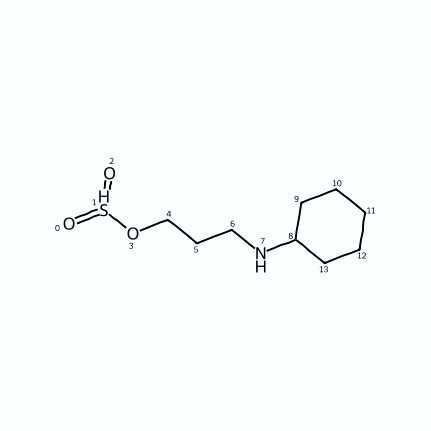 O=[SH](=O)OCCCNC1CCCCC1